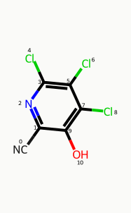 N#Cc1nc(Cl)c(Cl)c(Cl)c1O